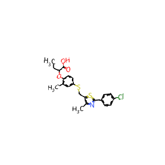 CCC(Oc1ccc(SCc2sc(-c3ccc(Cl)cc3)nc2C)cc1C)C(=O)O